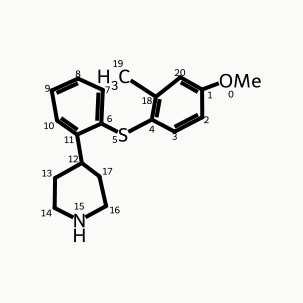 COc1ccc(Sc2ccccc2C2CCNCC2)c(C)c1